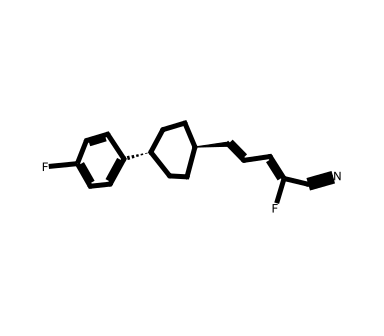 N#CC(F)=CC=C[C@H]1CC[C@H](c2ccc(F)cc2)CC1